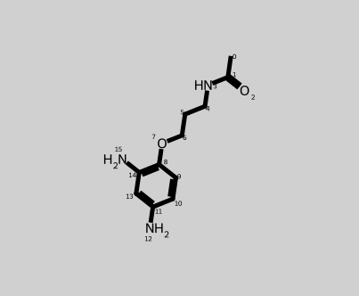 CC(=O)NCCCOc1ccc(N)cc1N